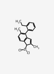 CCc1ccccc1-c1c(C)ccc2c1C=C(C)[CH]2[Zr]([Cl])[Cl]